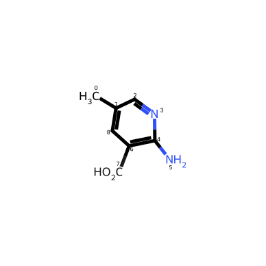 Cc1cnc(N)c(C(=O)O)c1